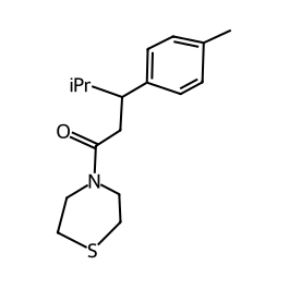 Cc1ccc(C(CC(=O)N2CCSCC2)C(C)C)cc1